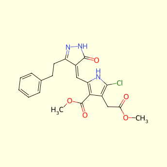 COC(=O)Cc1c(Cl)[nH]c(C=C2C(=O)NN=C2CCc2ccccc2)c1C(=O)OC